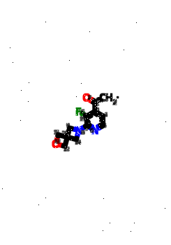 [CH2]C(=O)c1ccnc(N2CC3(COC3)C2)c1F